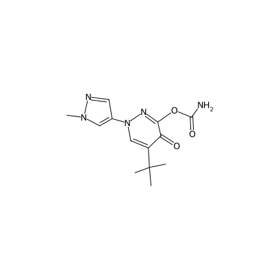 Cn1cc(-n2cc(C(C)(C)C)c(=O)c(OC(N)=O)n2)cn1